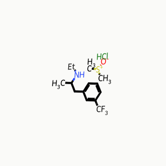 CCNC(C)Cc1cccc(C(F)(F)F)c1.C[S+](C)[O-].Cl